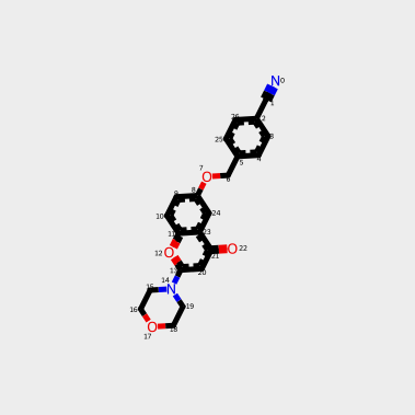 N#Cc1ccc(COc2ccc3oc(N4CCOCC4)cc(=O)c3c2)cc1